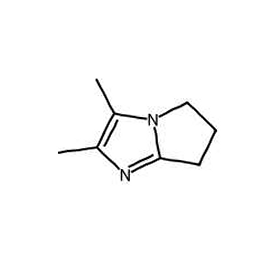 Cc1nc2n(c1C)CCC2